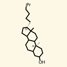 CC(C)CCCC[C@H]1CCC2C3CCC4CC(O)CC[C@]4(C)C3CCC21C